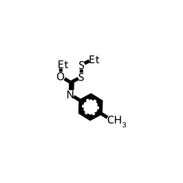 CCOC(=Nc1ccc(C)cc1)SSCC